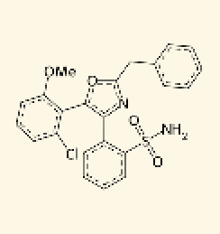 COc1cccc(Cl)c1-c1oc(Cc2ccccc2)nc1-c1ccccc1S(N)(=O)=O